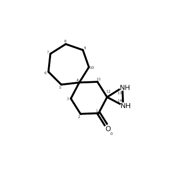 O=C1CCC2(CCCCCC2)CC12NN2